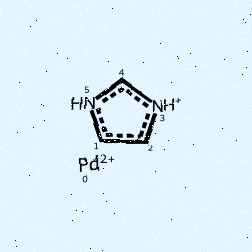 [Pd+2].c1c[nH+]c[nH]1